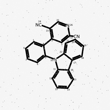 N#Cc1cc(-c2ccccc2-n2c3ccccc3c3ccccc32)c(C#N)cn1